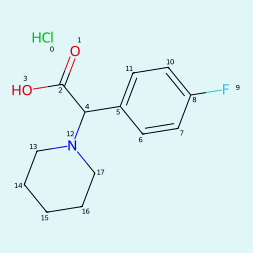 Cl.O=C(O)C(c1ccc(F)cc1)N1CCCCC1